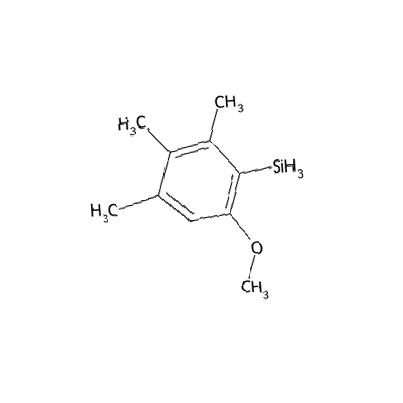 COc1cc(C)c(C)c(C)c1[SiH3]